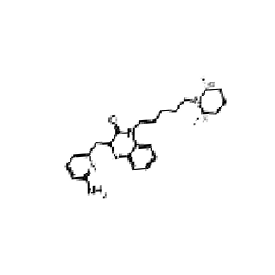 C[C@@H]1CCC[C@H](C)N1CCCCCN1C(=O)C(Cc2cccc(N)n2)Sc2ccccc21